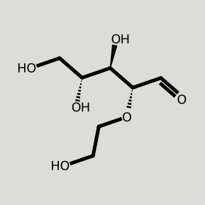 O=C[C@H](OCCO)[C@H](O)[C@H](O)CO